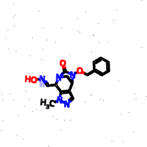 Cn1ncc2c1C(/C=N/O)N1CC2N(OCc2ccccc2)C1=O